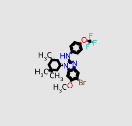 COc1cc2c(cc1Br)nc(Nc1ccc(OC(F)(F)F)cc1)n2[C@H]1C[C@@H](C)CC(C)(C)C1